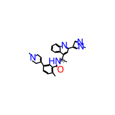 Cc1ccc(C2=CCN(C)CC2)cc1C(=O)N[C@H](C)c1cc(-c2cnn(C)c2)nc2ccccc12